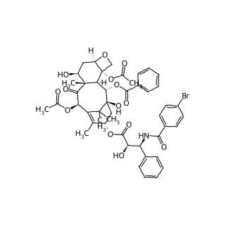 CC(=O)O[C@H]1C(=O)[C@@]2(C)[C@H]([C@H](OC(=O)c3ccccc3)[C@]3(O)C[C@H](OC(=O)[C@H](O)[C@@H](NC(=O)c4ccc(Br)cc4)c4ccccc4)C(C)=C1C3(C)C)[C@]1(OC(C)=O)CO[C@@H]1C[C@@H]2O